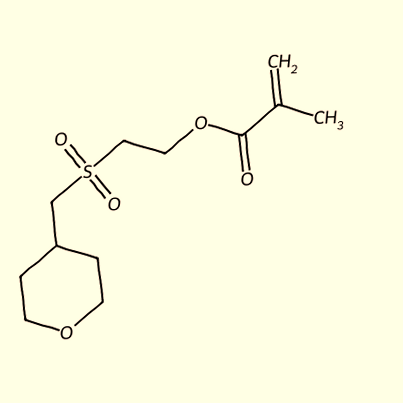 C=C(C)C(=O)OCCS(=O)(=O)CC1CCOCC1